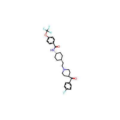 O=C(N[C@H]1CC[C@H](CCN2CCC(C(=O)c3ccc(F)cc3)CC2)CC1)c1ccc(OC(F)(F)F)cc1